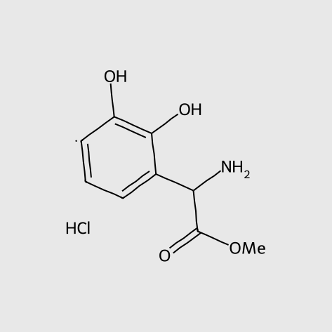 COC(=O)C(N)c1cc[c]c(O)c1O.Cl